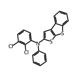 Clc1cccc(N(c2ccccc2)c2cc3c(s2)sc2ccccc23)c1Cl